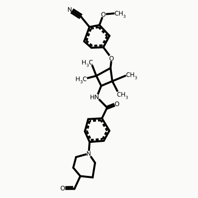 COc1cc(OC2C(C)(C)C(NC(=O)c3ccc(N4CCC(C=O)CC4)cc3)C2(C)C)ccc1C#N